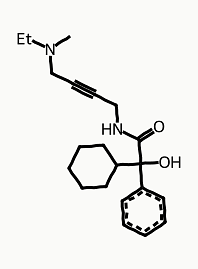 CCN(C)CC#CCNC(=O)C(O)(c1ccccc1)C1CCCCC1